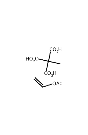 C=COC(C)=O.CC(C(=O)O)(C(=O)O)C(=O)O